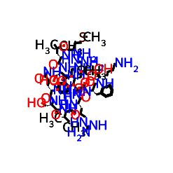 CC[C@H](C)[C@H](NC(=O)[C@H](CO)NC(=O)[C@H](CCC(N)=O)NC(=O)[C@H](CCCNC(=N)N)NC(=O)[C@H](CC(C)C)NC(=O)[C@H](CO)NC(=O)[C@H](CC(C)C)NC(=O)[C@@H](N)CCSC)C(=O)N[C@@H](CCCNC(=N)N)C(=O)N[C@@H](Cc1ccccc1)C(=O)N[C@@H](Cc1ccccc1)C(=O)N[C@@H](CCCCN)C(=O)O